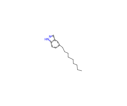 CCCCCCCCCc1ccc2[nH]ncc2c1